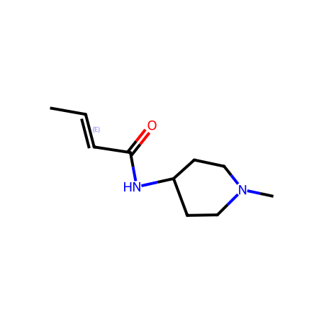 C/C=C/C(=O)NC1CCN(C)CC1